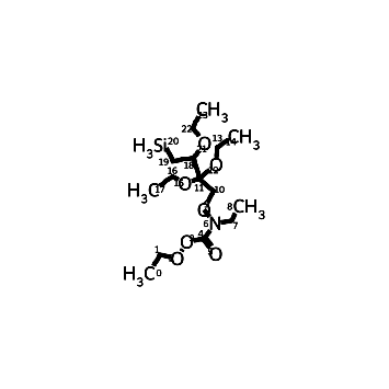 CCOOC(=O)N(CC)OCC(OCC)(OCC)C(C[SiH3])OCC